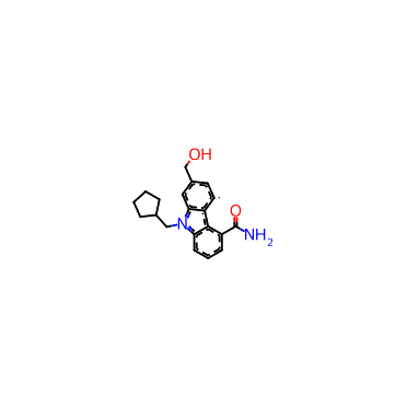 NC(=O)c1cccc2c1c1[c]cc(CO)cc1n2CC1CCCC1